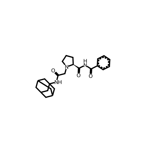 O=C(CN1CCC[C@H]1C(=O)NC(=O)c1ccccc1)NC12CC3CC(CC(C3)C1)C2